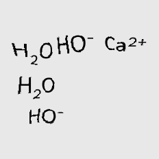 O.O.[Ca+2].[OH-].[OH-]